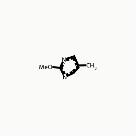 COc1ncc(C)cn1